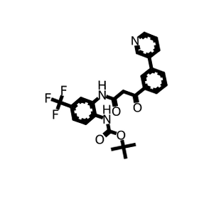 CC(C)(C)OC(=O)Nc1ccc(C(F)(F)F)cc1NC(=O)CC(=O)c1cccc(-c2cccnc2)c1